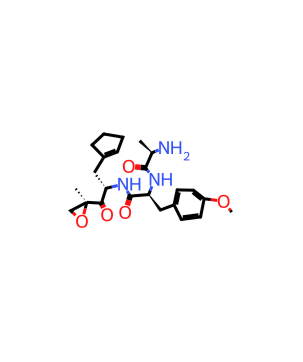 COc1ccc(C[C@H](NC(=O)[C@@H](C)N)C(=O)N[C@@H](CC2=CCCC2)C(=O)[C@]2(C)CO2)cc1